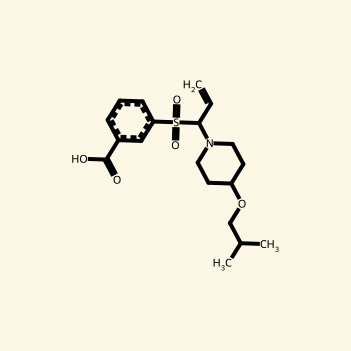 C=CC(N1CCC(OCC(C)C)CC1)S(=O)(=O)c1cccc(C(=O)O)c1